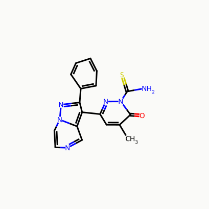 Cc1cc(-c2c(-c3ccccc3)nn3ccncc23)nn(C(N)=S)c1=O